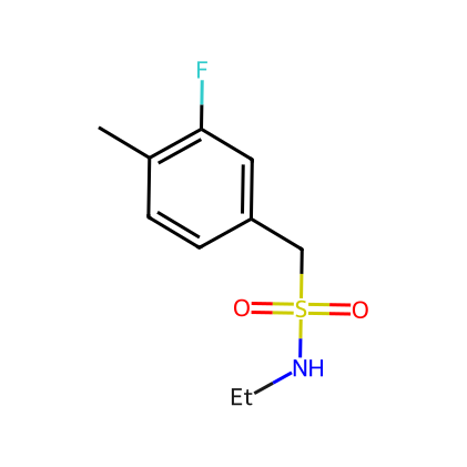 CCNS(=O)(=O)Cc1ccc(C)c(F)c1